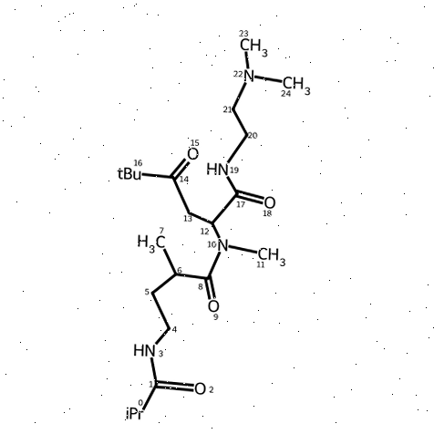 CC(C)C(=O)NCCC(C)C(=O)N(C)C(CC(=O)C(C)(C)C)C(=O)NCCN(C)C